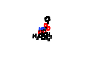 CC(C)(C)C(=O)ONC(=O)OCc1ccccc1